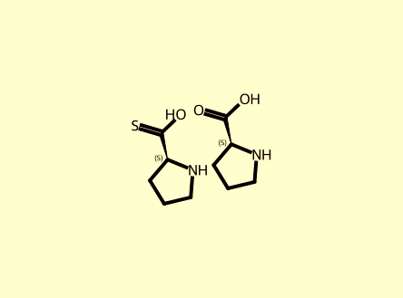 O=C(O)[C@@H]1CCCN1.OC(=S)[C@@H]1CCCN1